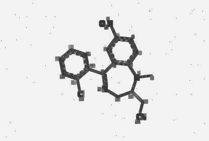 CN1c2ccc([N+](=O)[O-])cc2C(c2ccccc2Cl)=NCC1CC#N